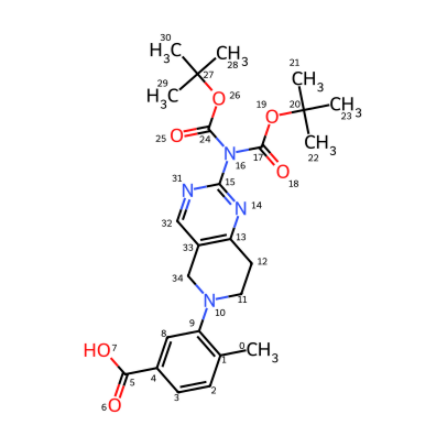 Cc1ccc(C(=O)O)cc1N1CCc2nc(N(C(=O)OC(C)(C)C)C(=O)OC(C)(C)C)ncc2C1